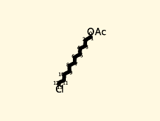 CC(=O)OCCCCCCCCCCCCCl